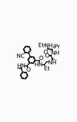 CCNC(=O)[C@@H](NC(=O)[C@H](C)NCC(CC)NC(=O)c1cc(C(=O)N[C@H](C)c2ccccc2)cc(-c2ccccc2C#N)c1)C(C)C